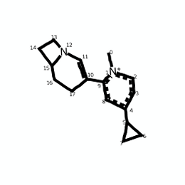 C[n+]1ccc(C2CC2)cc1C1=CN2CCC2CC1